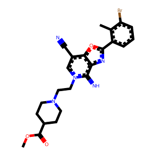 COC(=O)C1CCN(CCn2cc(C#N)c3oc(-c4cccc(Br)c4C)nc3c2=N)CC1